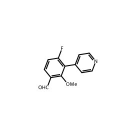 COc1c(C=O)ccc(F)c1-c1ccncc1